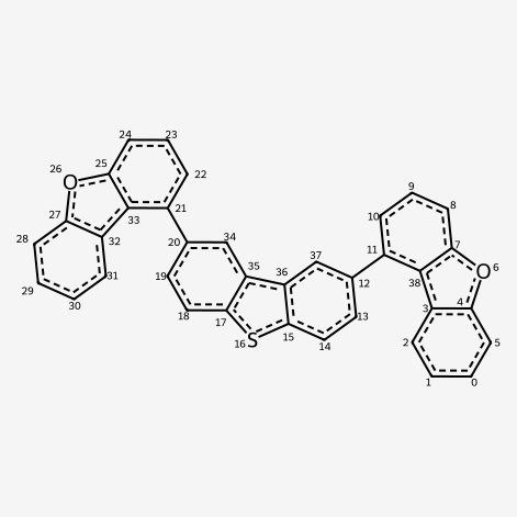 c1ccc2c(c1)oc1cccc(-c3ccc4sc5ccc(-c6cccc7oc8ccccc8c67)cc5c4c3)c12